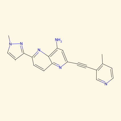 Cc1ccncc1C#Cc1cc(N)c2nc(-c3[c]cn(C)n3)ccc2n1